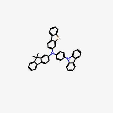 CC1(C)c2ccccc2-c2ccc(N(c3ccc(-n4c5ccccc5c5ccccc54)cc3)c3ccc4c(c3)sc3ccccc34)cc21